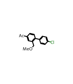 COCc1cc(C(C)=O)ccc1-c1ccc(Cl)cc1